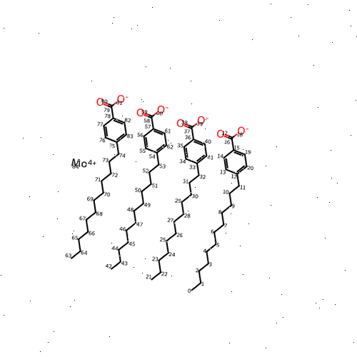 CCCCCCCCCCCCc1ccc(C(=O)[O-])cc1.CCCCCCCCCCCCc1ccc(C(=O)[O-])cc1.CCCCCCCCCCCCc1ccc(C(=O)[O-])cc1.CCCCCCCCCCCCc1ccc(C(=O)[O-])cc1.[Mo+4]